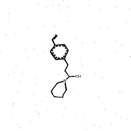 C=Cc1ccc(CCC(O)N2CCCCC2)cc1